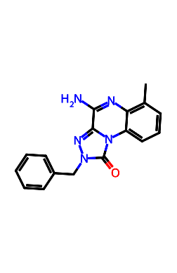 Cc1cccc2c1nc(N)c1nn(Cc3ccccc3)c(=O)n12